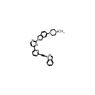 CN1CCN(c2ccc3c(c2)CN(c2nccc(-c4cccc(C#Cn5ncc6ccccc65)n4)n2)C3)CC1